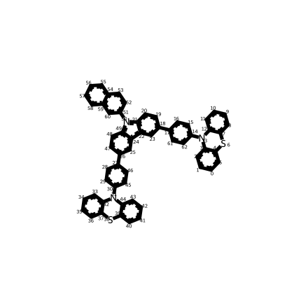 c1ccc2c(c1)Sc1ccccc1N2c1ccc(-c2ccc3c(c2)c2cc(-c4ccc(N5c6ccccc6Sc6ccccc65)cc4)ccc2n3-c2ccc3ccccc3c2)cc1